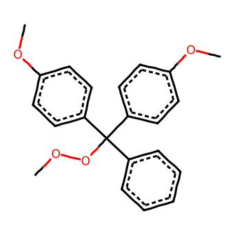 COOC(c1ccccc1)(c1ccc(OC)cc1)c1ccc(OC)cc1